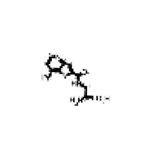 CC(C)c1ccnc2cc(C(=O)NCC(N)C(=O)O)sc12